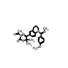 C/N=C(/c1ccc(OC)cc1)N1CCCc2cc(C3=NN(C(C)=O)C(=O)SC3(C)C)ccc21